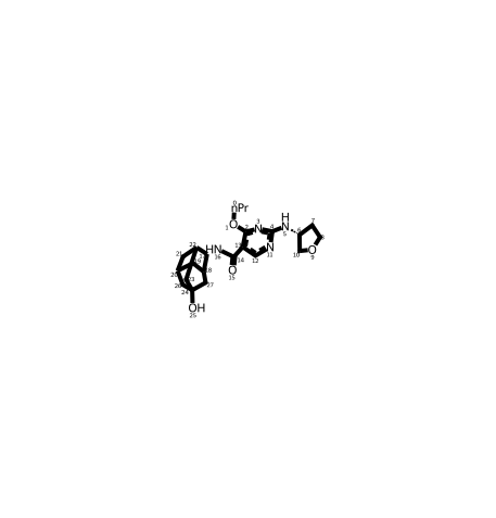 CCCOc1nc(N[C@@H]2CCOC2)ncc1C(=O)NC1C2CC3CC1CC(O)(C3)C2